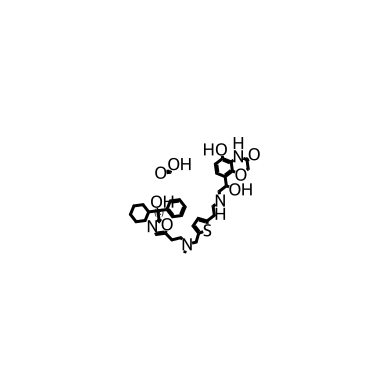 CN(CCc1cnc([C@](O)(c2ccccc2)C2CCCCC2)o1)Cc1ccc(CCNCC(O)c2ccc(O)c3c2OCC(=O)N3)s1.O=CO